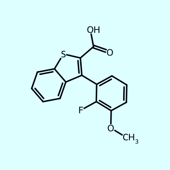 COc1cccc(-c2c(C(=O)O)sc3ccccc23)c1F